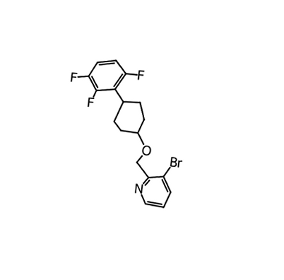 Fc1ccc(F)c(C2CCC(OCc3ncccc3Br)CC2)c1F